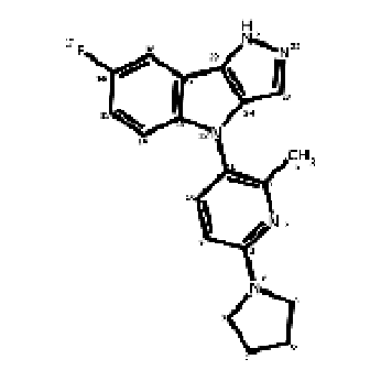 Cc1nc(N2CCCC2)ccc1-n1c2ccc(F)cc2c2[nH]ncc21